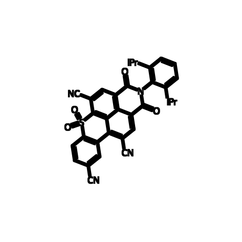 CC(C)c1cccc(C(C)C)c1N1C(=O)c2cc(C#N)c3c4c(c(C#N)cc(c24)C1=O)S(=O)(=O)c1ccc(C#N)cc1-3